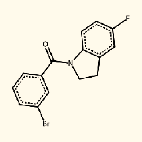 O=C(c1cccc(Br)c1)N1CCc2cc(F)ccc21